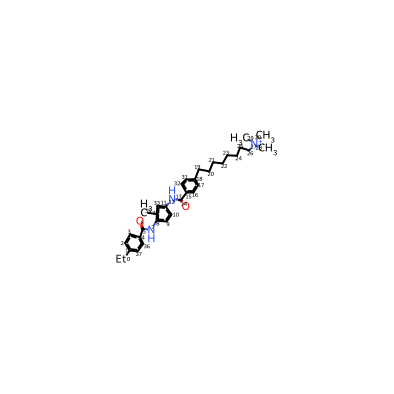 CCc1ccc(C(=O)Nc2ccc(NC(=O)c3ccc(CCCCCCCC[N+](C)(C)C)cc3)cc2C)cc1